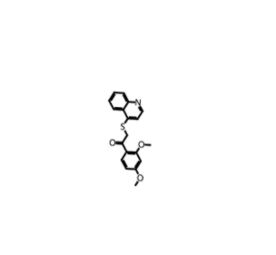 COc1ccc(C(=O)CSc2ccnc3ccccc23)c(OC)c1